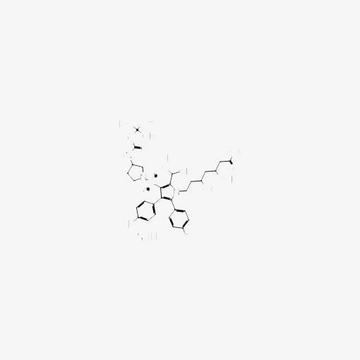 CC(C)c1c(S(=O)(=O)N2CCC(NC(=O)OC(C)(C)C)C2)c(-c2ccc(F)cc2)c(-c2ccc(F)cc2)n1CCC(O)CC(O)CC(=O)O.[NaH]